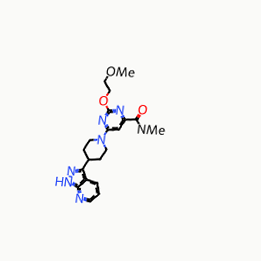 CNC(=O)c1cc(N2CCC(c3n[nH]c4ncccc34)CC2)nc(OCCOC)n1